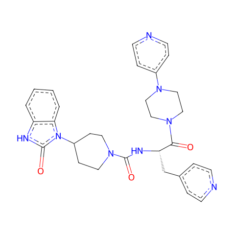 O=C(N[C@@H](Cc1ccncc1)C(=O)N1CCN(c2ccncc2)CC1)N1CCC(n2c(=O)[nH]c3ccccc32)CC1